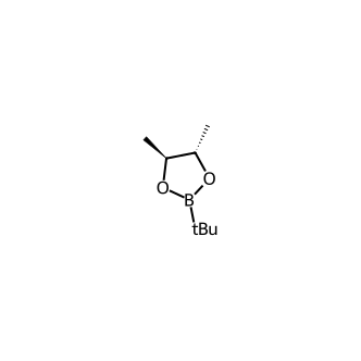 C[C@@H]1OB(C(C)(C)C)O[C@H]1C